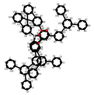 c1ccc(-c2cc(-c3ccccc3)cc(-c3cccc(-c4ccc5c(c4)c4ccccc4n5-c4ccc5c(c4)C4(c6ccccc6-c6ccc(-c7cc(-c8cccc(-c9cc(-c%10ccccc%10)cc(-c%10ccccc%10)c9)c8)nc(-c8cccc(-c9cc(-c%10ccccc%10)cc(-c%10ccccc%10)c9)c8)n7)cc64)c4ccccc4-5)c3)c2)cc1